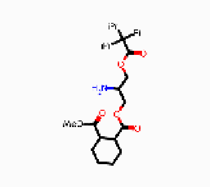 CCC(C(=O)OCC(N)COC(=O)C1CCCCC1C(=O)OC)(C(C)C)C(C)C